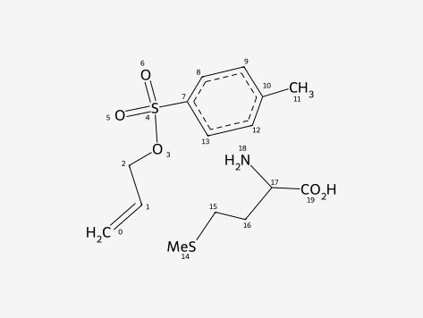 C=CCOS(=O)(=O)c1ccc(C)cc1.CSCCC(N)C(=O)O